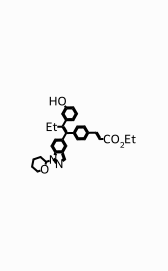 CCOC(=O)/C=C/c1ccc(/C(=C(/CC)c2cccc(O)c2)c2ccc3c(cnn3C3CCCCO3)c2)cc1